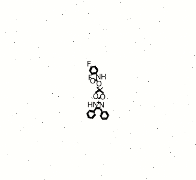 C[C@]1(COC(=O)Nc2ccc(F)cc2F)CO[C@@H](c2nc(-c3ccccc3)c(-c3ccccc3)[nH]2)OC1